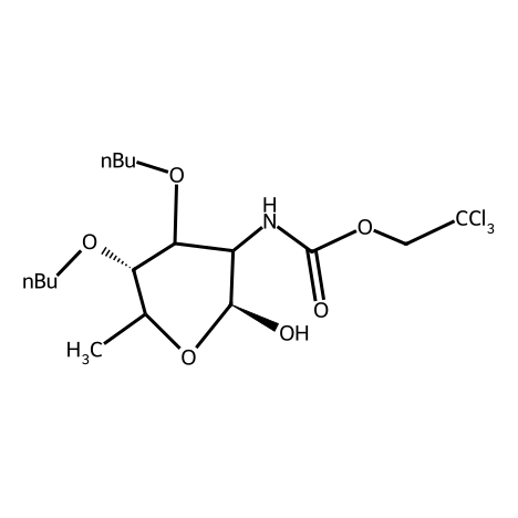 CCCCOC1C(NC(=O)OCC(Cl)(Cl)Cl)[C@@H](O)OC(C)[C@@H]1OCCCC